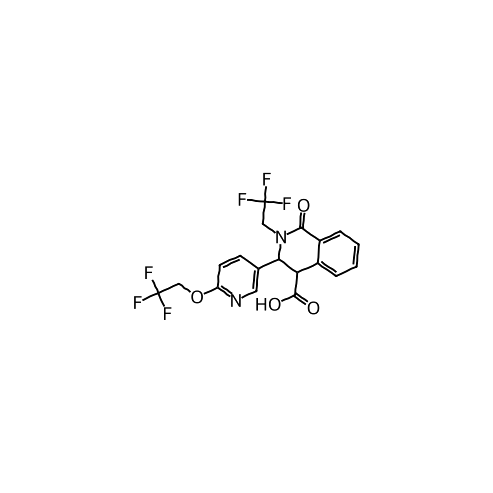 O=C(O)C1c2ccccc2C(=O)N(CC(F)(F)F)C1c1ccc(OCC(F)(F)F)nc1